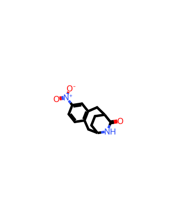 O=C1NC2CCC1Cc1cc([N+](=O)[O-])ccc1C2